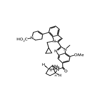 COc1cc(C(=O)N2C[C@H]3CC[C@@H]2[C@@H]3N)cc2nc(-c3cc4cccc(C5=CCN(C(=O)O)CC5)c4n3CC3CC3)n(C)c12